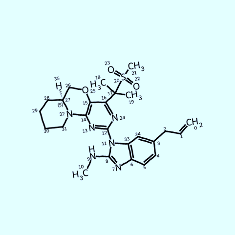 C=CCc1ccc2nc(NC)n(-c3nc4c(c(C(C)(C)S(C)(=O)=O)n3)OC[C@@H]3CCCCN43)c2c1